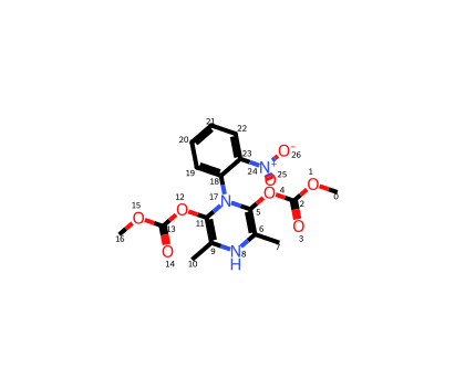 COC(=O)OC1=C(C)NC(C)=C(OC(=O)OC)N1c1ccccc1[N+](=O)[O-]